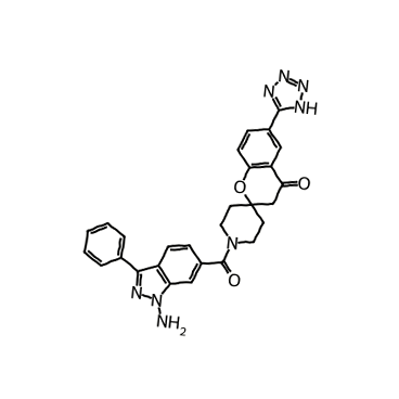 Nn1nc(-c2ccccc2)c2ccc(C(=O)N3CCC4(CC3)CC(=O)c3cc(-c5nnn[nH]5)ccc3O4)cc21